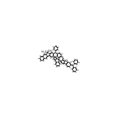 CC1(C)c2cc(N(c3ccccc3)c3ccc4c(c3)C3(c5ccccc5-c5ccccc53)c3ccc5c(oc6cc(N(c7ccccc7)c7ccccc7)ccc65)c3S4)ccc2-c2cc3ccccc3cc21